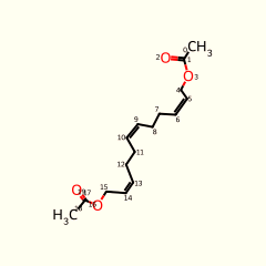 CC(=O)OC/C=C\CC/C=C\CC/C=C\COC(C)=O